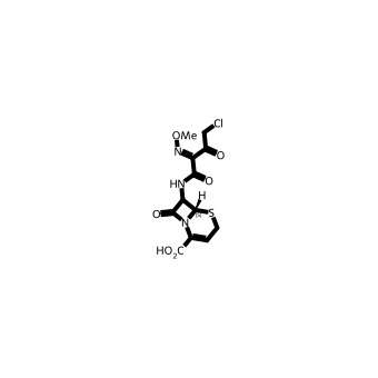 CON=C(C(=O)CCl)C(=O)NC1C(=O)N2C(C(=O)O)=CCS[C@@H]12